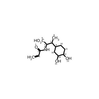 C=CC(=O)NC(C(=O)O)C(C)C1CCC(O)C(O)C1